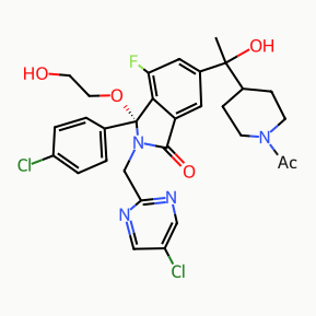 CC(=O)N1CCC(C(C)(O)c2cc(F)c3c(c2)C(=O)N(Cc2ncc(Cl)cn2)[C@@]3(OCCO)c2ccc(Cl)cc2)CC1